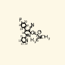 CN(C)C(=O)COc1nc(-c2ccccn2)cc(-c2ccc(F)cc2)c1C#N